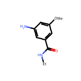 CCNC(=O)c1cc(N)cc(OC)c1